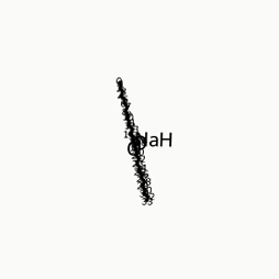 CCCCCCCCCCCCCCCCCC(=O)OCCCCCCCCCCCCCC.[NaH]